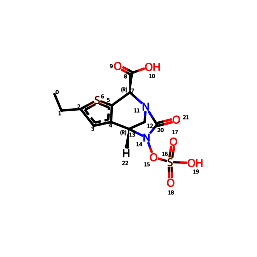 CCc1cc2c(s1)[C@@H](C(=O)O)N1C[C@@H]2N(OS(=O)(=O)O)C1=O